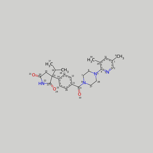 Cc1cnc(N2CCN(C(=O)c3ccc(C4(C(C)C)CC(=O)NC4=O)cc3)CC2)c(C)c1